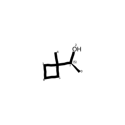 C[C@H](O)C1(C)CCC1